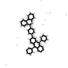 c1ccc(-c2c3ccccc3c(-c3ccccc3)c3cc(-c4ccc(-c5nc6ccccc6c6ccccc56)cc4)ccc23)cc1